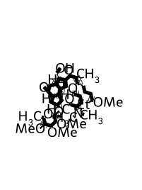 CC[C@@H](CCC[C@H](O[C@H]1CC[C@H](N(C)C)C(C)O1)[C@@H](C)C(=O)C1=C[C@H]2[C@@H]3C[C@H](O[C@@H]4OC(C)[C@H](OC)C(OC)C4OC)C[C@H]3C3OC3[C@H]2[C@@H]1CO)OC